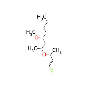 CCCCC(CC(C)OC(C)/C=C/F)OC